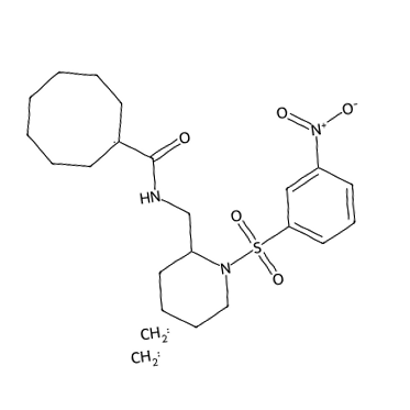 O=C(NCC1CCCCN1S(=O)(=O)c1cccc([N+](=O)[O-])c1)[C]1CCCCCCC1.[CH2].[CH2]